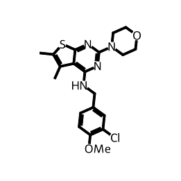 COc1ccc(CNc2nc(N3CCOCC3)nc3sc(C)c(C)c23)cc1Cl